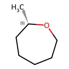 C[C@H]1CCCCCO1